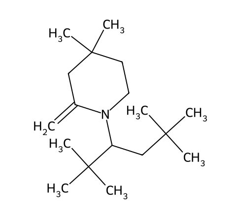 C=C1CC(C)(C)CCN1C(CC(C)(C)C)C(C)(C)C